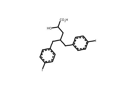 O=C(O)C(O)CC(Cc1ccc(I)cc1)Cc1ccc(I)cc1